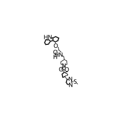 CSc1nccc(-c2ccc(S(=O)(=O)N3CCC(CNC[C@H](O)COc4cccc5[nH]c6ccccc6c45)CC3)s2)n1